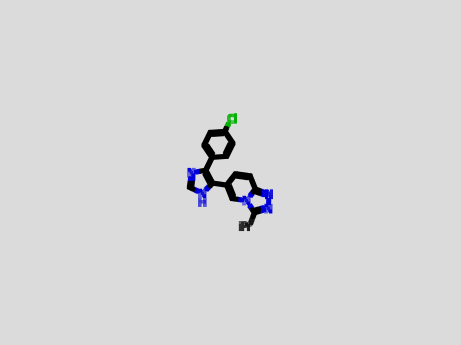 CC(C)c1nnc2ccc(-c3[nH]cnc3-c3ccc(Cl)cc3)cn12